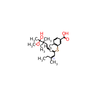 CC/C(C)=C\C(=C=CCC(C)(C)C(C)(O)OC)Sc1cc(C(=O)O)ccc1C